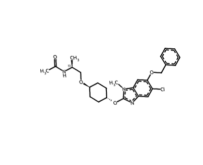 CC(=O)N[C@@H](C)CO[C@H]1CC[C@H](Oc2nc3cc(Cl)c(OCc4ccccc4)cc3n2C)CC1